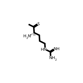 CC(=S)[C@@H](N)CCCNC(=N)N